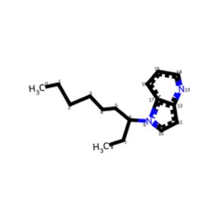 CCCCCCC(CC)n1ccc2ncccc21